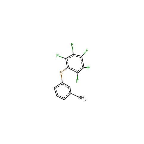 Bc1cccc(Sc2c(F)c(F)c(F)c(F)c2F)c1